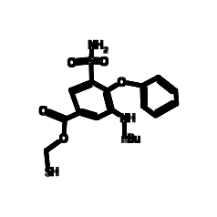 CCCCNc1cc(C(=O)OCS)cc(S(N)(=O)=O)c1Oc1ccccc1